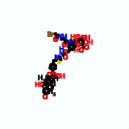 C[C@]12C=CC(=O)C=C1CC[C@@H]1[C@@H]2[C@@H](O)C[C@@]2(C)[C@H]1C[C@H]1O[C@H](c3ccc(Cc4nc(NC(=O)OCc5ccc(O[C@@H]6O[C@H](C(=O)O)[C@@H](O)[C@H](O)[C@H]6O)c(NC(=O)CCNC(=O)CBr)c5)cs4)cc3)O[C@]12C(=O)CO